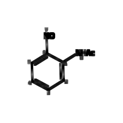 CC(=O)Nc1ccccc1N=O